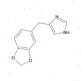 c1nc(Cc2ccc3c(c2)OCO3)c[nH]1